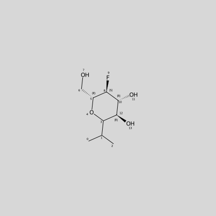 CC(C)C1O[C@H](CO)[C@@H](F)[C@H](O)[C@H]1O